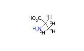 [2H]C([2H])([2H])C([2H])(N)C(=O)O